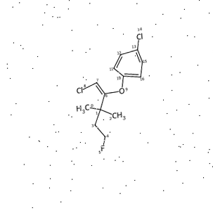 CC(C)(CCF)C(=CCl)Oc1ccc(Cl)cc1